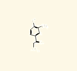 CCC(=O)c1ccc(F)c(C)c1